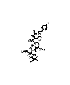 CC[C@H](C)[C@@H]([C@@H](CC(=O)N1CCCC1[C@H](OC)[C@@H](C)C(=O)NCCc1ccc(Cl)cc1)OC)N(C)C(=O)[C@@H](NC(=O)C(C(C)C)N(C)C)[C@H](C)N=[N+]=[N-]